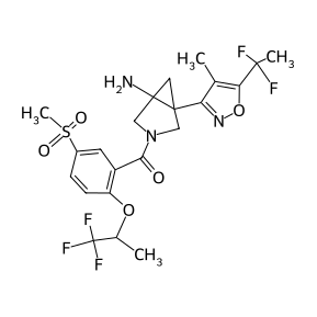 Cc1c(C23CN(C(=O)c4cc(S(C)(=O)=O)ccc4OC(C)C(F)(F)F)CC2(N)C3)noc1C(C)(F)F